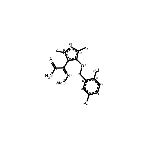 CON=C(C(N)=O)c1c(OCc2cc(Cl)ccc2Cl)c(C)nn1C